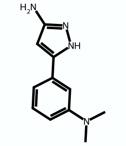 CN(C)c1cccc(-c2cc(N)n[nH]2)c1